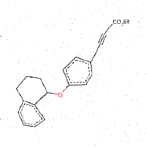 CCOC(=O)C#Cc1ccc(OC2CCCc3ccccc32)cc1